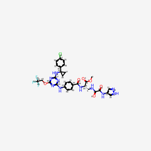 COC(=O)[C@H](CNC(=O)C(=O)Nc1cn[nH]c1)NC(=O)c1ccc(Nc2nc(NC3(c4ccc(Cl)cc4)CC3)nc(OCC(F)(F)F)n2)cc1